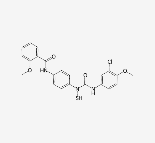 COc1ccc(NC(=O)N(S)c2ccc(NC(=O)c3ccccc3OC)cc2)cc1Cl